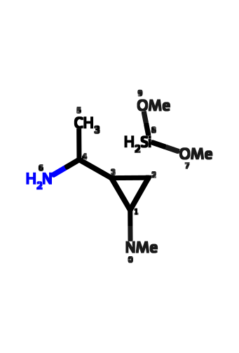 CNC1CC1C(C)N.CO[SiH2]OC